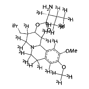 [2H]c1c(OC)c(OC([2H])([2H])[2H])c([2H])c2c1C1N(C([2H])([2H])C2([2H])[2H])C([2H])([2H])C([2H])(CC(C)C)C(OC(=O)[C@@]([2H])(N)C([2H])(C([2H])([2H])[2H])C([2H])([2H])[2H])C1([2H])[2H]